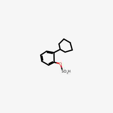 O=S(=O)(O)Oc1ccccc1C1CCCCC1